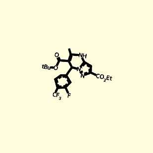 CCOC(=O)c1cc2n(n1)C(c1ccc(C(F)(F)F)c(F)c1)C(C(=O)OC(C)(C)C)=C(C)N2